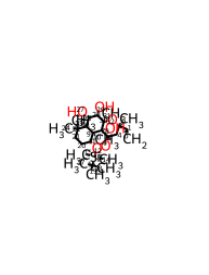 C=C[C@@]1(C)CC(=O)[C@@]2(O)[C@@]3(C)[C@@H](O[Si](C)(C)C(C)(C)C)CCC(C)(C)[C@@H]3[C@H](O)[C@H](O)[C@@]2(C)O1